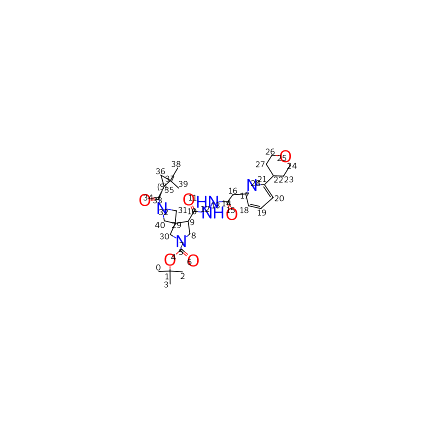 CC(C)(C)OC(=O)N1CC(C(=O)NNC(=O)Cc2cccc(C3CCOCC3)n2)C2(C1)CN(C(=O)[C@H]1CC1(C)C)C2